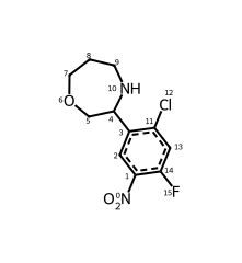 O=[N+]([O-])c1cc(C2COCCCN2)c(Cl)cc1F